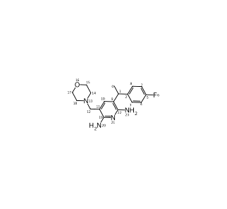 CC(c1ccc(F)cc1)c1cc(CN2CCOCC2)c(N)nc1N